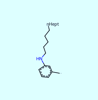 [CH2]c1cccc(NCCCCCCCCCCCC)c1